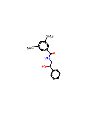 COc1cc(OC)cc(C(=O)NCC(O)c2ccccc2)c1